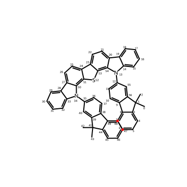 CC1(C)c2ccccc2-c2ccc(-n3c4ccccc4c4ccc5c6ccc7c8ccccc8n(-c8ccc9c(c8)C(C)(C)c8ccccc8-9)c7c6sc5c43)cc21